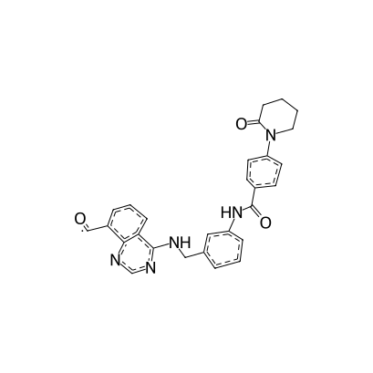 O=[C]c1cccc2c(NCc3cccc(NC(=O)c4ccc(N5CCCCC5=O)cc4)c3)ncnc12